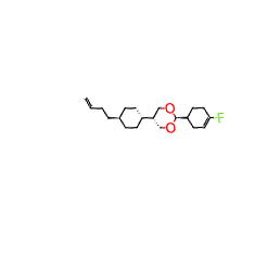 C=CCC[C@H]1CC[C@H]([C@H]2CO[C@H](C3CC=C(F)CC3)OC2)CC1